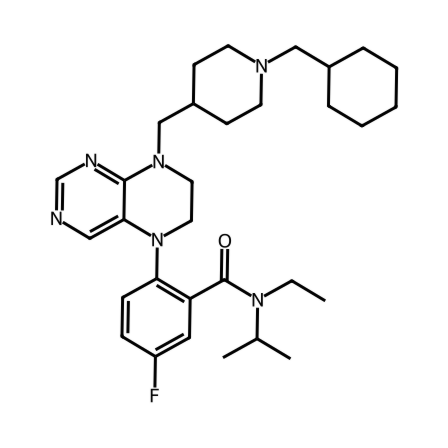 CCN(C(=O)c1cc(F)ccc1N1CCN(CC2CCN(CC3CCCCC3)CC2)c2ncncc21)C(C)C